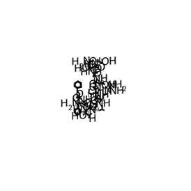 CC[C@H](C)[C@H](NC(=O)[C@@H](CCCNC(=N)N)NC(=O)[C@H](CC(C)C)NC(=O)[C@@H](NC(=O)[C@@H](NC(=O)OCc1ccccc1)[C@H](N)c1ccccc1)[C@H](O)C(C)C)C(=O)N[C@H](C(=O)NCC(=O)N[C@H](C(=O)N[C@@H](C)C(=O)O)[C@H](O)C(N)=O)[C@H](C)O